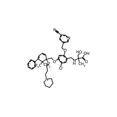 CC(CO)(NCc1cc(Cl)c(OCC2(OCCCN3CCCCC3)C=CC=C(c3ccccc3)C2(C)C)cc1OCc1cncc(C#N)c1)C(=O)O